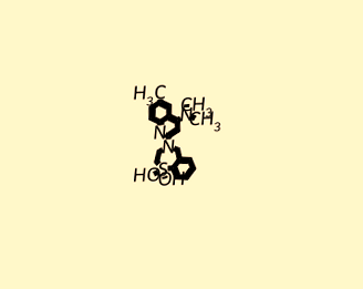 Cc1ccc2nc(N3CCS(O)(O)c4ccccc4C3)cc(N(C)C)c2c1